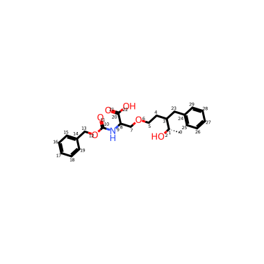 C[C@H](O)C(CCOCC(NC(=O)OCc1ccccc1)C(=O)O)Cc1ccccc1